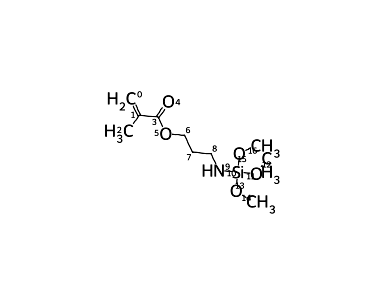 C=C(C)C(=O)OCCCN[Si](OC)(OC)OC